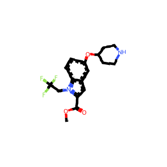 COC(=O)c1cc2cc(OC3CCNCC3)ccc2n1CC(F)(F)F